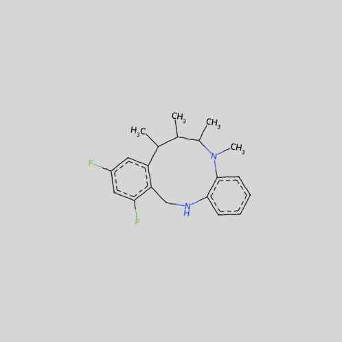 CC1c2cc(F)cc(F)c2CNc2ccccc2N(C)C(C)C1C